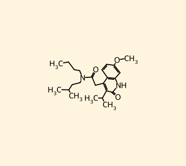 CCCCN(CCC(C)C)C(=O)Cc1c(C(C)C)c(=O)[nH]c2cc(OC)ccc12